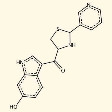 O=C(c1c[nH]c2cc(O)ccc12)C1CSC(c2cccnc2)N1